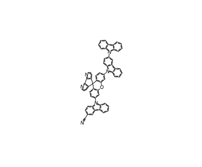 N#Cc1ccc2c(c1)c1ccccc1n2-c1ccc2c(c1)Oc1cc(-n3c4ccccc4c4cc(-n5c6ccccc6c6ccccc65)ccc43)ccc1C21c2cccnc2-c2ncccc21